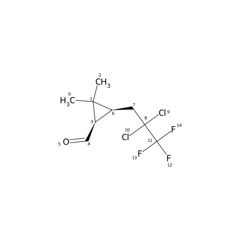 CC1(C)[C@H](C=O)[C@@H]1CC(Cl)(Cl)C(F)(F)F